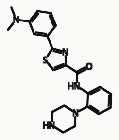 CN(C)c1cccc(-c2nc(C(=O)Nc3ccccc3N3CCNCC3)cs2)c1